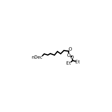 CCCCCCCCCCCCCCCCCC(=O)OOC(CC)CC